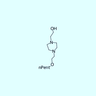 CCCCCOCCN1CCN(CCO)CC1